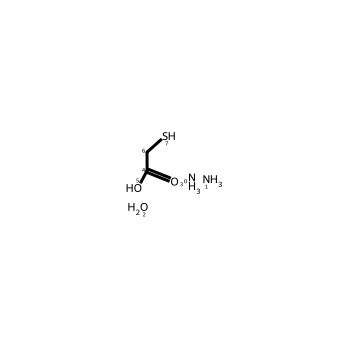 N.N.O.O=C(O)CS